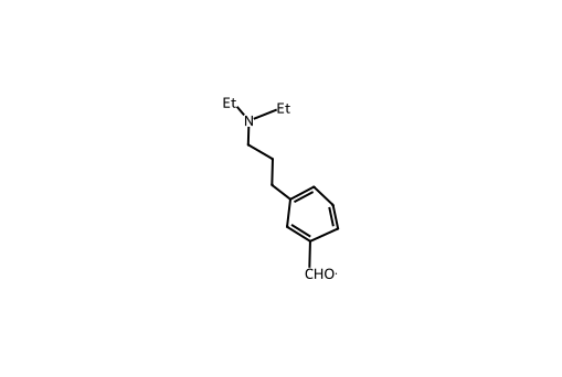 CCN(CC)CCCc1cccc([C]=O)c1